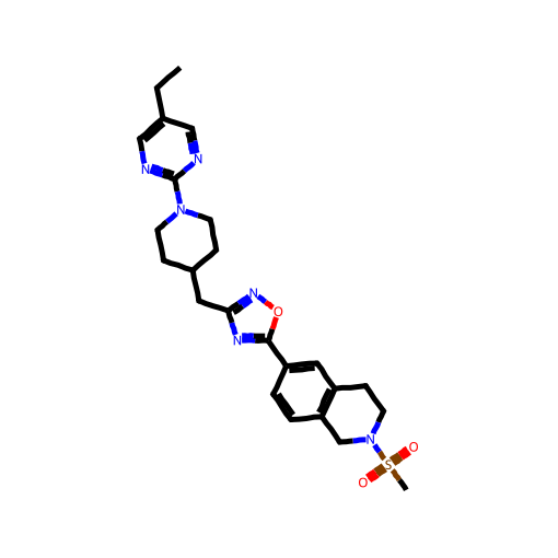 CCc1cnc(N2CCC(Cc3noc(-c4ccc5c(c4)CCN(S(C)(=O)=O)C5)n3)CC2)nc1